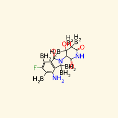 Bc1c(N)c2c(c(B)c1F)C(=O)N(C1C(=O)NC(=O)C(B)(B)C1(B)O)C2(B)B